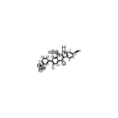 C#Cc1ccc2c(c1)[nH]c1c2c(=O)c2cc(C)c(-c3cccc(S(=O)(=O)F)c3)cc2n1CCCC